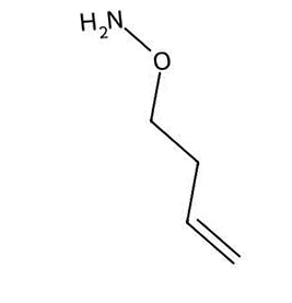 C=CCCON